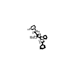 COc1c(C(=O)NN2CCCNC2)n(C)c2c1c(=O)n(CC(=O)c1ccccc1)c1ccccc21